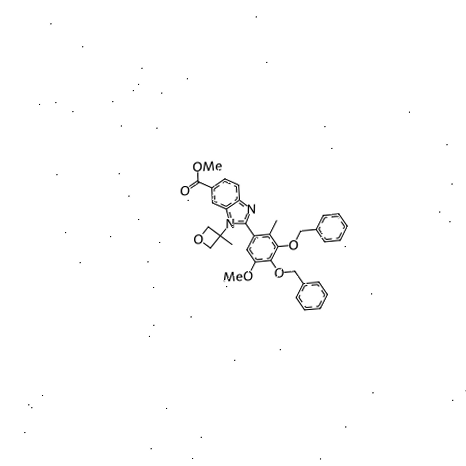 COC(=O)c1ccc2nc(-c3cc(OC)c(OCc4ccccc4)c(OCc4ccccc4)c3C)n(C3(C)COC3)c2c1